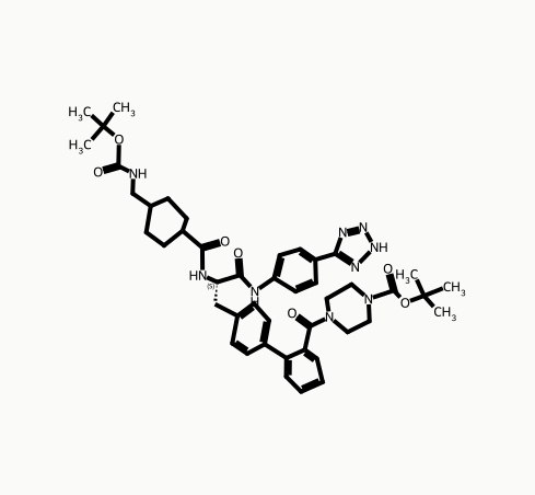 CC(C)(C)OC(=O)NCC1CCC(C(=O)N[C@@H](Cc2ccc(-c3ccccc3C(=O)N3CCN(C(=O)OC(C)(C)C)CC3)cc2)C(=O)Nc2ccc(-c3nn[nH]n3)cc2)CC1